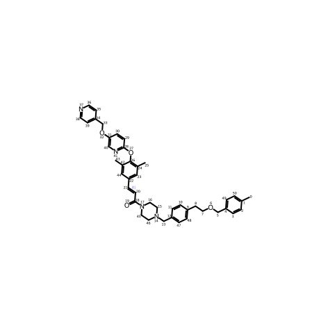 Cc1ccc(COCCc2ccc(CN3CCN(C(=O)/C=C/c4cc(C)c(Oc5ccc(OCc6ccncc6)cn5)c(C)c4)CC3)cc2)cc1